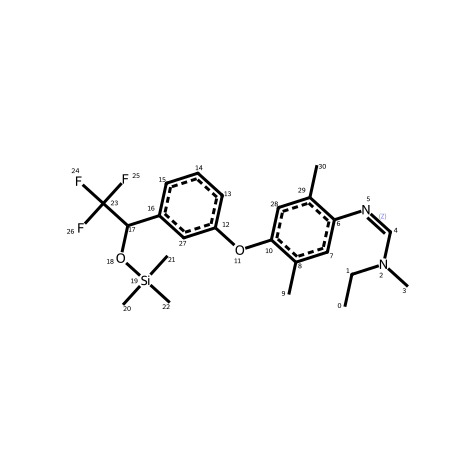 CCN(C)/C=N\c1cc(C)c(Oc2cccc(C(O[Si](C)(C)C)C(F)(F)F)c2)cc1C